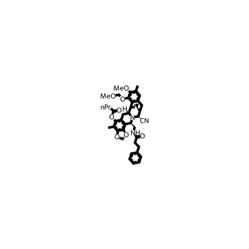 CCCC(=O)Oc1c(C)c2c(c3c1C[C@H]1C4c5c(cc(C)c(OC)c5OCOC)CC([C@H](C#N)N1[C@H]3CNC(=O)CCc1ccccc1)N4C)OCO2